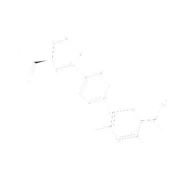 Cc1nc(C)c(-c2ccc(N3CCC[C@H](C(=O)O)C3)cc2)nc1C(N)=O